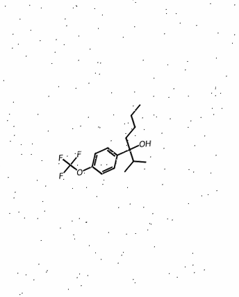 CCCCC(O)(c1ccc(OC(F)(F)F)cc1)C(C)C